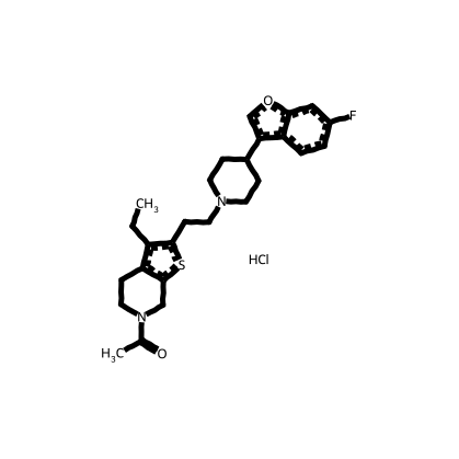 CCc1c(CCN2CCC(c3coc4cc(F)ccc34)CC2)sc2c1CCN(C(C)=O)C2.Cl